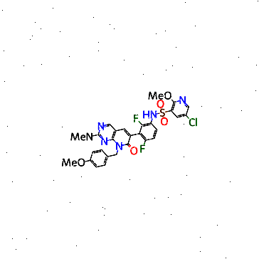 CNc1ncc2cc(-c3c(F)ccc(NS(=O)(=O)c4cc(Cl)cnc4OC)c3F)c(=O)n(Cc3ccc(OC)cc3)c2n1